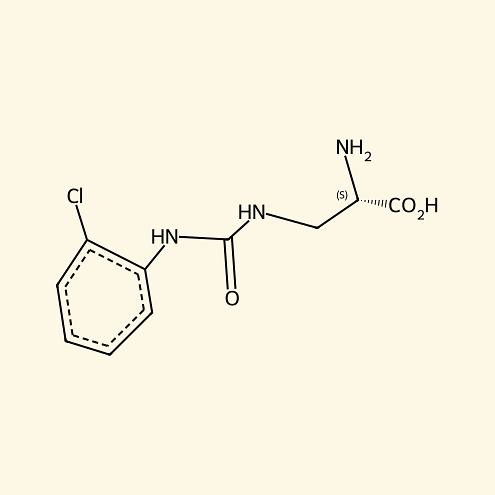 N[C@@H](CNC(=O)Nc1ccccc1Cl)C(=O)O